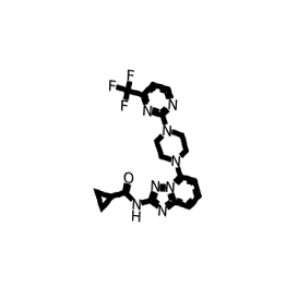 O=C(Nc1nc2cccc(N3CCN(c4nccc(C(F)(F)F)n4)CC3)n2n1)C1CC1